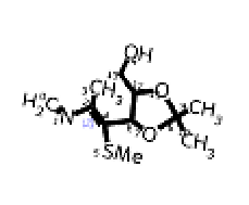 C=N/C(C)=C(\SC)C1OC(C)(C)OC1CO